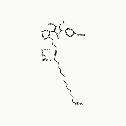 CCCCCCCCCCCCCCCCCCCCCCCC#CCCCc1ccccc1C1=C(CCCC)C(CCCC)=C(c2ccc(CCCCCC)cc2)[N+]1=[N-].CCCC[CH2][Pd][CH2]CCCC